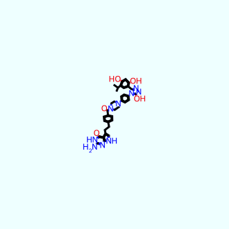 CC(C)c1cc(-c2nnc(O)n2-c2ccc(N3CCN(C(=O)c4ccc(CCc5c[nH]c6nc(N)[nH]c(=O)c56)cc4)CC3)cc2)c(O)cc1O